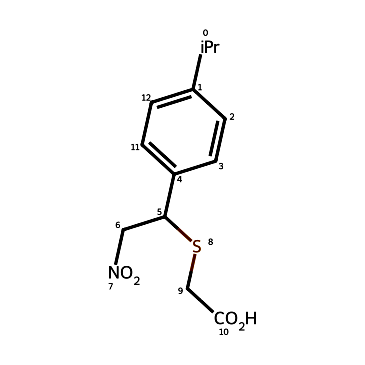 CC(C)c1ccc(C(C[N+](=O)[O-])SCC(=O)O)cc1